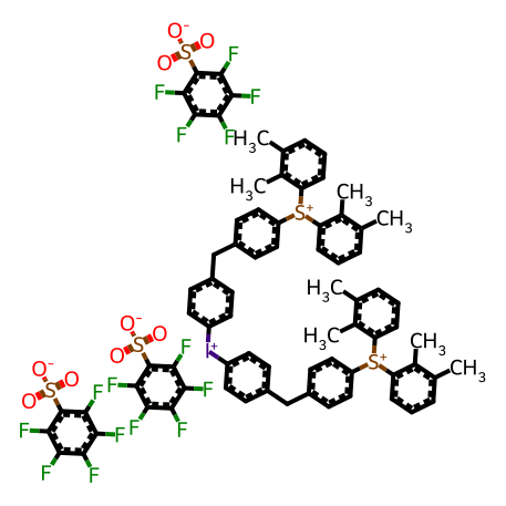 Cc1cccc([S+](c2ccc(Cc3ccc([I+]c4ccc(Cc5ccc([S+](c6cccc(C)c6C)c6cccc(C)c6C)cc5)cc4)cc3)cc2)c2cccc(C)c2C)c1C.O=S(=O)([O-])c1c(F)c(F)c(F)c(F)c1F.O=S(=O)([O-])c1c(F)c(F)c(F)c(F)c1F.O=S(=O)([O-])c1c(F)c(F)c(F)c(F)c1F